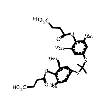 CC(C)(Sc1cc(C(C)(C)C)c(OC(=O)CCC(=O)O)c(C(C)(C)C)c1)Sc1cc(C(C)(C)C)c(OC(=O)CCC(=O)O)c(C(C)(C)C)c1